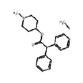 CI.CN1CCC(OC(=O)C(c2ccccc2)c2ccccc2)CC1